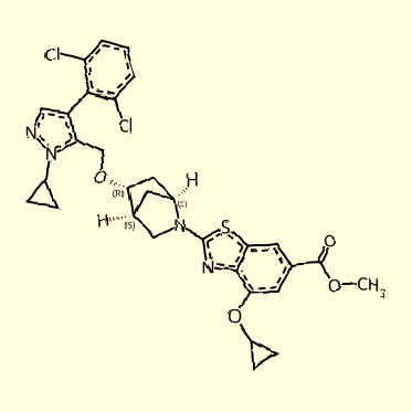 COC(=O)c1cc(OC2CC2)c2nc(N3C[C@@H]4C[C@H]3C[C@H]4OCc3c(-c4c(Cl)cccc4Cl)cnn3C3CC3)sc2c1